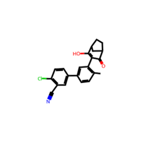 Cc1ccc(-c2ccc(Cl)c(C#N)c2)cc1C1=C(O)C2CCC(C2)C1=O